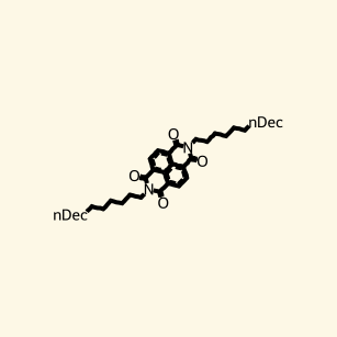 CCCCCCCCCCCCCCCCN1C(=O)c2ccc3c4c(ccc(c24)C1=O)C(=O)N(CCCCCCCCCCCCCCCC)C3=O